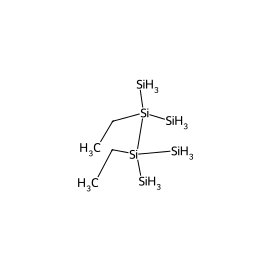 CC[Si]([SiH3])([SiH3])[Si]([SiH3])([SiH3])CC